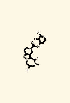 CN1CC(F)Cn2nc3c(c2C1=O)CN(C(=O)Nc1ccnc(Br)c1F)CC3